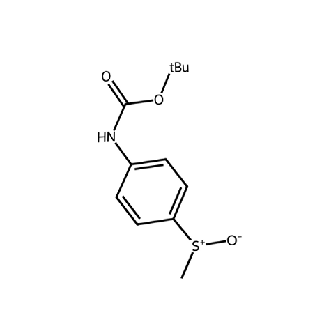 C[S+]([O-])c1ccc(NC(=O)OC(C)(C)C)cc1